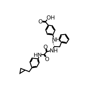 O=C(Nc1ccc(CC2CC2)cc1)C(=O)N[C@H](CNc1ccc(C(=O)O)cc1)Cc1ccccc1